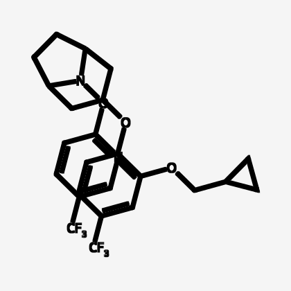 FC(F)(F)c1ccc(ON2C3CCC2CC(Oc2ccc(C(F)(F)F)cc2OCC2CC2)C3)nc1